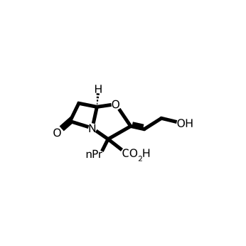 CCCC1(C(=O)O)C(=CCO)O[C@@H]2CC(=O)N21